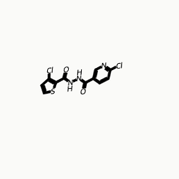 O=C(NNC(=O)c1sccc1Cl)c1ccc(Cl)nc1